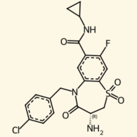 N[C@H]1CS(=O)(=O)c2cc(F)c(C(=O)NC3CC3)cc2N(Cc2ccc(Cl)cc2)C1=O